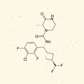 C[C@@H]1C(=O)NCCN1C(=O)N[C@@H](c1ccc(F)c(Cl)c1F)[C@H]1C[C@H](C(F)F)C1